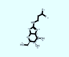 OC[C@H]1OC2SC(NCCC(F)F)=NC2[C@@H](O)[C@@H]1O